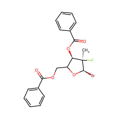 C[C@@]1(F)[C@H](OC(=O)c2ccccc2)C(COC(=O)c2ccccc2)O[C@@H]1Br